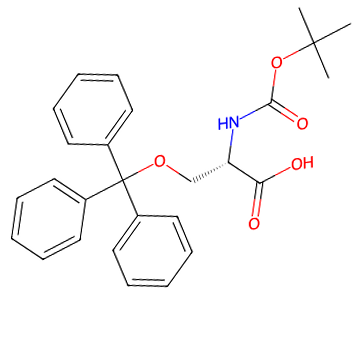 CC(C)(C)OC(=O)N[C@@H](COC(c1ccccc1)(c1ccccc1)c1ccccc1)C(=O)O